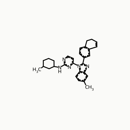 Cc1ccc2c(c1)nc(-c1ccc3c(c1)C=CCC3)n2-c1ccnc(NC2CCCC(C)C2)n1